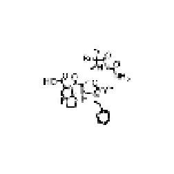 CCC(Br)(CC)C(=O)NC(N)=O.CCOC(=O)[C@H](CCc1ccccc1)N[C@@H](C)C(=O)N1[C@H](C(=O)O)C[C@@H]2CCC[C@@H]21